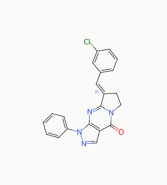 O=c1c2cnn(-c3ccccc3)c2nc2n1CC/C2=C\c1cccc(Cl)c1